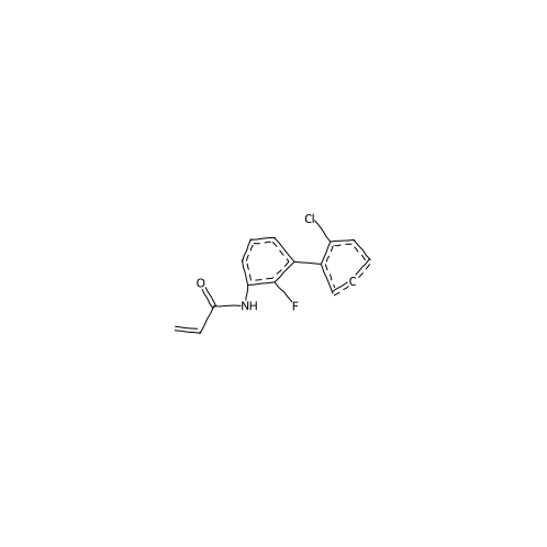 C=CC(=O)Nc1cccc(-c2ccccc2Cl)c1F